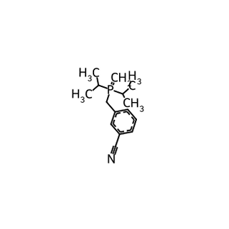 C=P(Cc1cccc(C#N)c1)(C(C)C)C(C)C